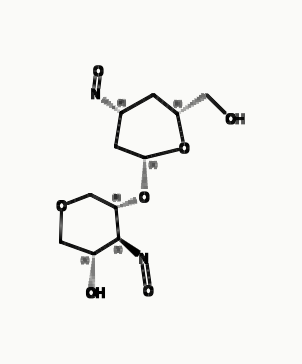 O=N[C@@H]1C[C@H](CO)O[C@H](O[C@H]2COC[C@@H](O)[C@@H]2N=O)C1